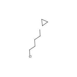 C1CC1.CCCCCCl